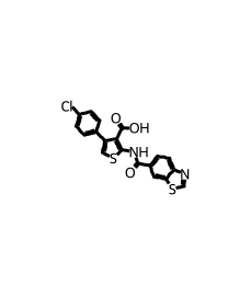 O=C(Nc1scc(-c2ccc(Cl)cc2)c1C(=O)O)c1ccc2ncsc2c1